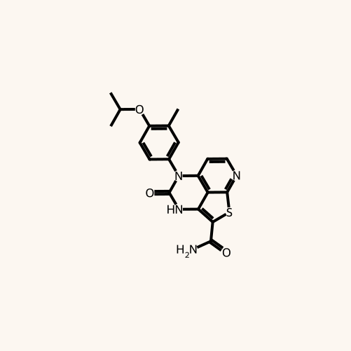 Cc1cc(N2C(=O)Nc3c(C(N)=O)sc4nccc2c34)ccc1OC(C)C